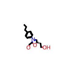 CCCc1ccc(N2C[C@@H](CCO)OC2C=O)cc1